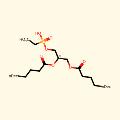 CCCCCCCCCCCCCC(=O)OC[C@H](COP(=O)(O)CC(=O)O)OC(=O)CCCCCCCCCCCCC